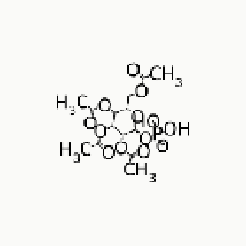 CC(=O)OC[C@H]1O[C@@H](OP(=O)(O)O)[C@H](OC(C)=O)[C@@H](OC(C)=O)[C@H]1OC(C)=O